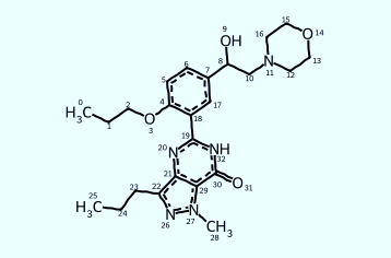 CCCOc1ccc(C(O)CN2CCOCC2)cc1-c1nc2c(CCC)nn(C)c2c(=O)[nH]1